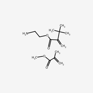 C=C(C(=O)OCCN)C(C)(C)C.C=C(C)C(=O)OC